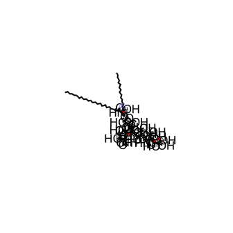 CCCCCCCCCCCCC/C=C/[C@@H](O)[C@H](CO[C@@H]1OC(CO)[C@@H](O[C@@H]2OC(CO)[C@H](O[C@@H]3OC(CO)[C@H](O)[C@H](O)C3NC(C)=O)[C@H](O[C@H]3OC(CO)[C@H](O)[C@H](O[C@@H]4OC(CO)[C@@H](O)[C@H](O[C@H]5OC(C)[C@@H](O)C(O)[C@@H]5O)C4NC(C)=O)C3O)C2O)[C@H](O)C1O)NC(=O)CCCCCCCCCCCCCCCCCCCCCCC